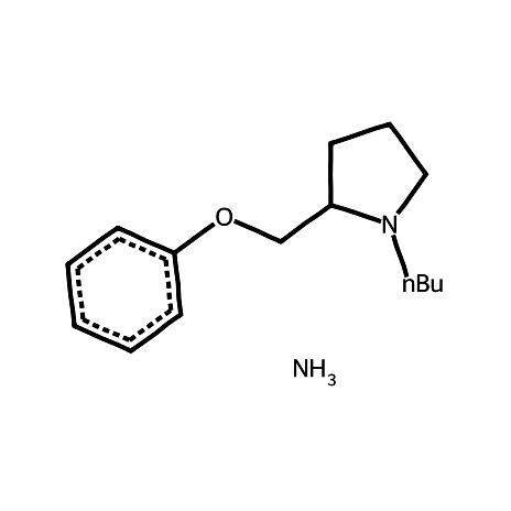 CCCCN1CCCC1COc1ccccc1.N